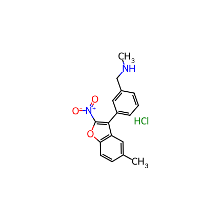 CNCc1cccc(-c2c([N+](=O)[O-])oc3ccc(C)cc23)c1.Cl